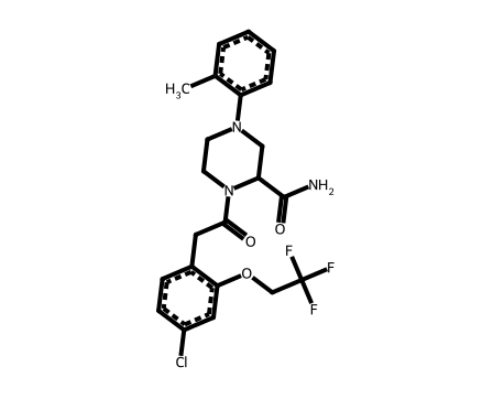 Cc1ccccc1N1CCN(C(=O)Cc2ccc(Cl)cc2OCC(F)(F)F)C(C(N)=O)C1